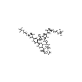 C[Si](C)(C)CCOCn1cc(-c2ccc(N3CCC(CNC(=O)O)CC3)c(NC(=O)c3nc(-c4cnn(COCC[Si](C)(C)C)c4)cn3COCC[Si](C)(C)C)c2)cn1